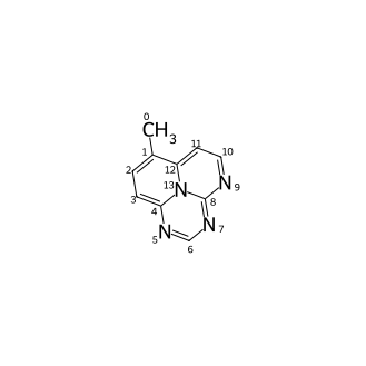 CC1=CC=C2N=CN=C3N=CC=C1N23